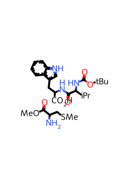 CC(C)C(NC(=O)OC(C)(C)C)C(=O)NC(Cc1c[nH]c2ccccc12)C(=O)O.COC(=O)C(N)CSC